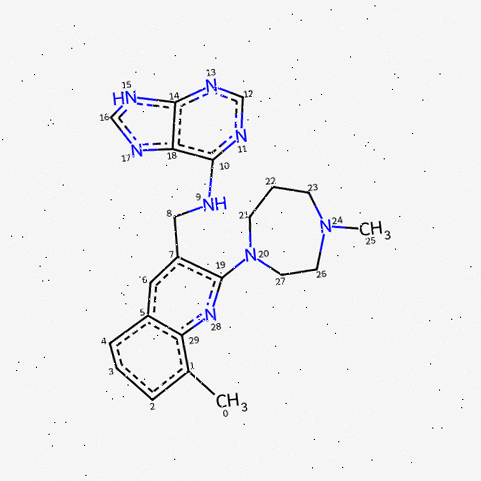 Cc1cccc2cc(CNc3ncnc4[nH]cnc34)c(N3CCCN(C)CC3)nc12